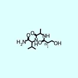 CC(NC(=O)[C@@H](C)CO)C(=O)NC(C(N)=O)C(C)C